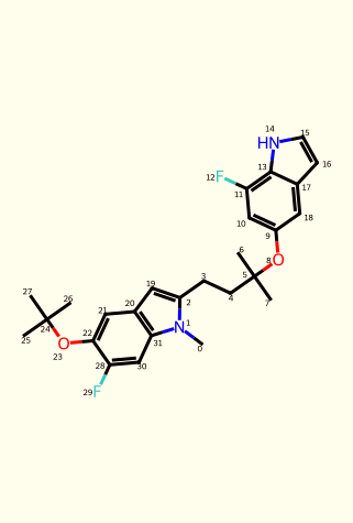 Cn1c(CCC(C)(C)Oc2cc(F)c3[nH]ccc3c2)cc2cc(OC(C)(C)C)c(F)cc21